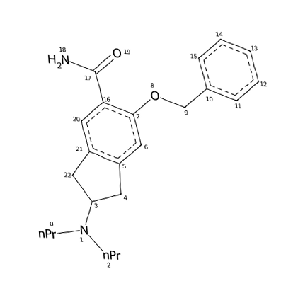 CCCN(CCC)C1Cc2cc(OCc3ccccc3)c(C(N)=O)cc2C1